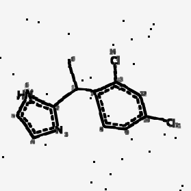 CC(c1ncc[nH]1)c1ccc(Cl)cc1Cl